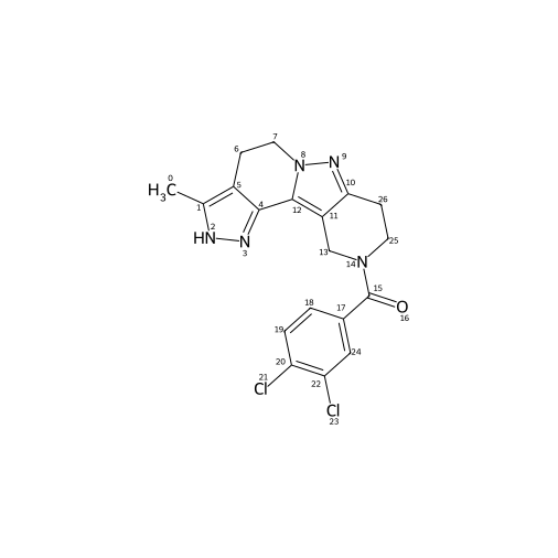 Cc1[nH]nc2c1CCn1nc3c(c1-2)CN(C(=O)c1ccc(Cl)c(Cl)c1)CC3